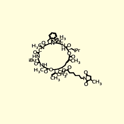 C/C=C(\C)[C@H]1OC(=O)[C@@H](C)NC(=O)[C@H](C(C)CC)NC(=O)CN(C)C(=O)[C@@H](Cc2ccccc2)N(C)C(=O)[C@H](C)NC(=O)[C@@H](CC(C)C)OC(=O)/C(C)=C/C[C@H](OC(=O)CCCCCN2C(=O)CC(C)C2=O)[C@@H]1C